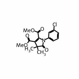 COC(=O)C1=C(C(=O)OC)C(C)(C)C(=O)N1c1cccc(Cl)c1